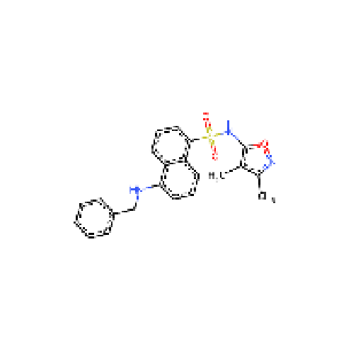 Cc1noc(NS(=O)(=O)c2cccc3c(NCc4ccccc4)cccc23)c1C